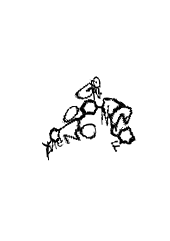 CNC(=O)c1c(-c2ccc(C(C)F)cc2)oc2cc(N(C)S(C)(=O)=O)c(-c3ccc4c(n3)-c3cc5c(F)cccc5n3CC4)cc12